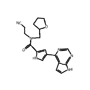 N#CCCN(CC1CCCO1)C(=O)c1cc(-c2ncnc3[nH]ccc23)c[nH]1